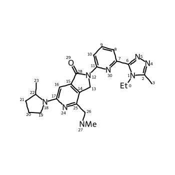 CCn1c(C)nnc1-c1cccc(N2Cc3c(cc(N4CCCC4C)nc3CNC)C2=O)n1